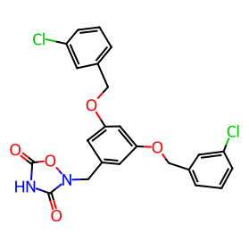 O=c1[nH]c(=O)n(Cc2cc(OCc3cccc(Cl)c3)cc(OCc3cccc(Cl)c3)c2)o1